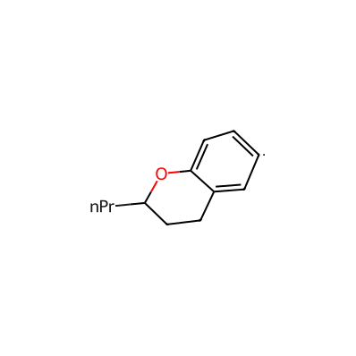 CCCC1CCc2c[c]ccc2O1